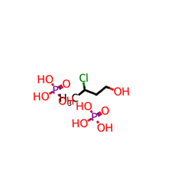 CC(Cl)CCO.O=P(O)(O)O.O=P(O)(O)O